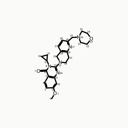 COc1ccc2c(=O)n(C3CC3)c(N3CCc4nc(CN5CCOCC5)ccc4C3)nc2c1